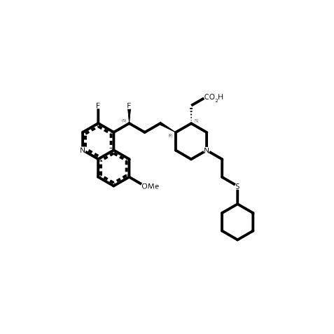 COc1ccc2ncc(F)c([C@@H](F)CC[C@@H]3CCN(CCSC4CCCCC4)C[C@H]3CC(=O)O)c2c1